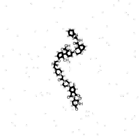 Cc1c(OCC(F)(F)CC2CCN(CC(=O)N3CCN(c4cc5c(cc4F)C(=O)N(C4CCC(=O)NC4=O)C5=O)CC3)CC2)cccc1-c1ccc(N2CCc3cccc(C(=O)Nc4nc5ccccc5s4)c3C2)nc1C(=O)O